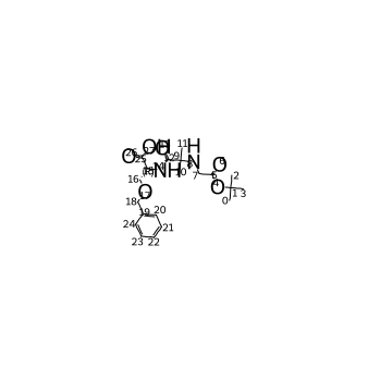 CC(C)(C)OC(=O)CNC(C)(C)C(=O)N[C@H](COCc1ccccc1)C(=O)O